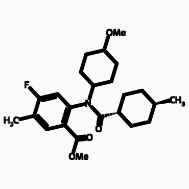 COC(=O)c1cc(C)c(F)cc1N(C(=O)[C@H]1CC[C@H](C)CC1)C1CCC(OC)CC1